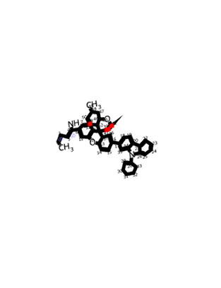 C/C=C\C=C(/N)c1ccc2c(c1)OC1C=CC(c3ccc4c5ccccc5n(C5=CCCCC5)c4c3)=CC1C21C2=CCCC=C2OC2CC(C)C=CC21